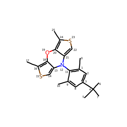 Cc1cc(C(C)(C)C)cc(C)c1N1c2csc(C)c2Oc2c1csc2C